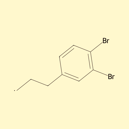 [CH2]CCc1ccc(Br)c(Br)c1